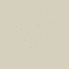 C#CCN1C(=O)COc2cc(F)c(/N=c3\snc4n3CC(C)(C)C4)cc21.CC1(C)CON(Cc2ccccc2Cl)C1=O.O=C(O)CNCP(=O)(O)O